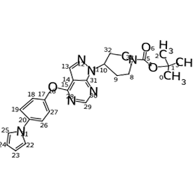 CC(C)(C)OC(=O)N1CCC(n2ncc3c(Oc4ccc(-n5cccc5)cc4)ncnc32)CC1